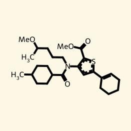 COC(=O)c1sc(C2=CCCCC2)cc1N(CCCC(C)OC)C(=O)C1CCC(C)CC1